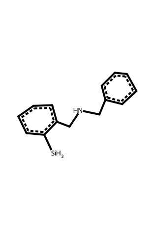 [SiH3]c1ccccc1CNCc1ccccc1